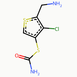 NCc1scc(SC(N)=O)c1Cl